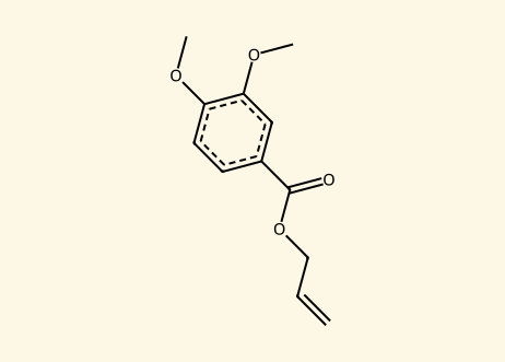 C=CCOC(=O)c1ccc(OC)c(OC)c1